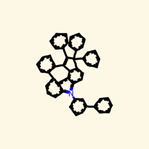 c1ccc(C2=C3c4ccccc4-c4cccc5c4c4c3c(ccc4n5-c3cccc(-c4ccccc4)c3)C2(c2ccccc2)c2ccccc2)cc1